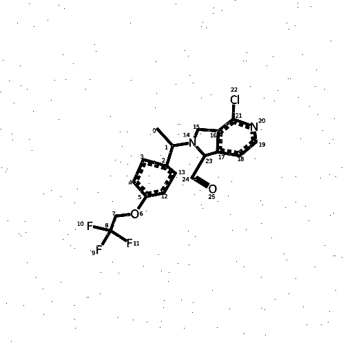 CC(c1ccc(OCC(F)(F)F)cc1)N1Cc2c(ccnc2Cl)C1C=O